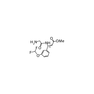 COC(=O)C[C@H](NC(=O)CN)c1cccc(OC(F)F)c1